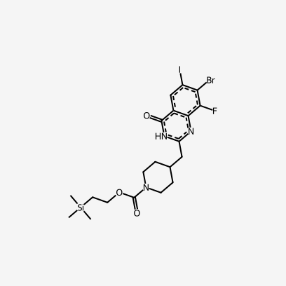 C[Si](C)(C)CCOC(=O)N1CCC(Cc2nc3c(F)c(Br)c(I)cc3c(=O)[nH]2)CC1